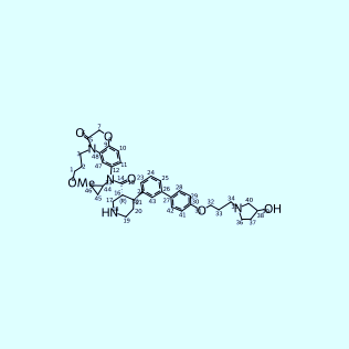 COCCCN1C(=O)COc2ccc(N(C(=O)[C@H]3CNCC[C@@H]3c3cccc(-c4ccc(OCCCN5CCC(O)C5)cc4)c3)C3CC3)cc21